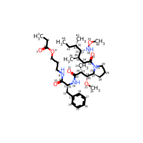 CCC(=O)OCCCNC(=O)[C@H](Cc1ccccc1)NC(=O)[C@H](C)[C@@H](OC)[C@@H]1CCCN1C(=O)C[C@@H](C)[C@@H](NOC)[C@@H](C)CC